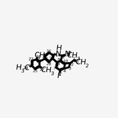 C=CC1Cc2c(F)cc3c(c21)/c(=N\C)[nH]c1ccc(-c2c(C)cc(C)cc2C)cc13